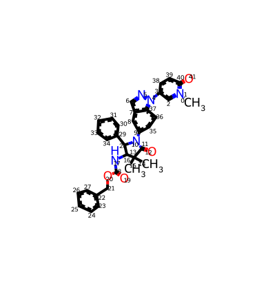 Cn1cc(-n2ncc3cc(N4C(=O)C(C)(C)C(NC(=O)OCc5ccccc5)C4c4ccccc4)ccc32)ccc1=O